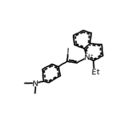 CCc1ccc2ccccc2[n+]1C=C(I)c1ccc(N(C)C)cc1